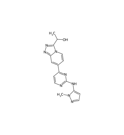 CC(O)c1nnc2cc(-c3ccnc(Nc4ccnn4C)n3)ccn12